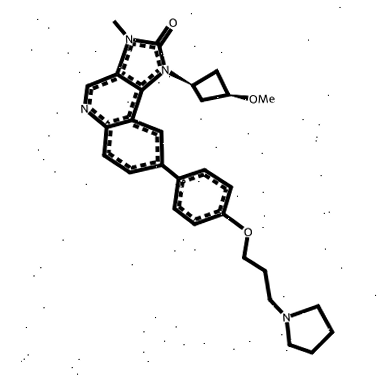 CO[C@H]1C[C@@H](n2c(=O)n(C)c3cnc4ccc(-c5ccc(OCCCN6CCCC6)cc5)cc4c32)C1